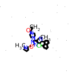 C=CC(=O)N1CCN(c2nc(OC[C@@H]3CCCN3C)nc3c2CN(C)C(c2cccc4cccc(Cl)c24)C3)CC1